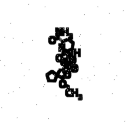 CCOC(=O)C1(COS(=O)(=O)ON2C(=O)N3C[C@H]2CC[C@H]3C(N)=O)CCCC1